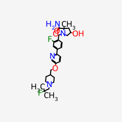 CC(C)(F)CN1CCC(COc2ccc(-c3ccc(C(=O)N4CC(O)CC4(C)C(N)=O)c(F)c3)nc2)CC1